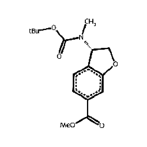 COC(=O)c1ccc2c(c1)OC[C@H]2N(C)C(=O)OC(C)(C)C